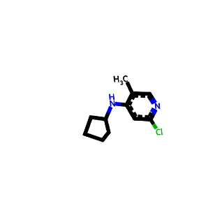 Cc1cnc(Cl)cc1NC1CCCC1